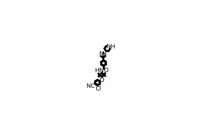 CC1(C)[C@H](NC(=O)c2ccc(-c3cnn(C4CCNCC4)c3)cc2)C(C)(C)[C@H]1Oc1ccc(C#N)c(Cl)c1